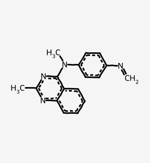 C=Nc1ccc(N(C)c2nc(C)nc3ccccc23)cc1